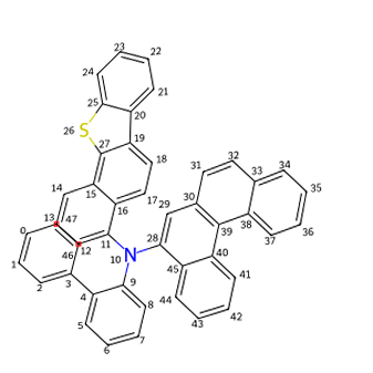 c1ccc(-c2ccccc2N(c2cccc3c2ccc2c4ccccc4sc32)c2cc3ccc4ccccc4c3c3ccccc23)cc1